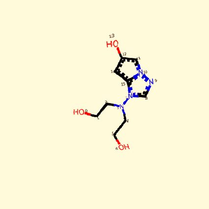 OCCN(CCO)n1cnn2cc(O)cc12